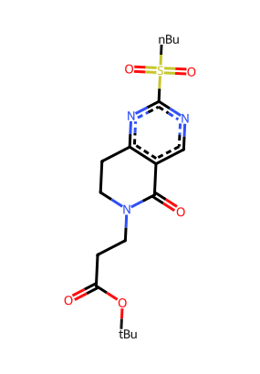 CCCCS(=O)(=O)c1ncc2c(n1)CCN(CCC(=O)OC(C)(C)C)C2=O